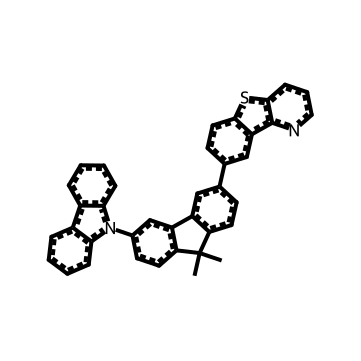 CC1(C)c2ccc(-c3ccc4sc5cccnc5c4c3)cc2-c2cc(-n3c4ccccc4c4ccccc43)ccc21